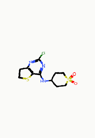 O=S1(=O)CCC(Nc2nc(Cl)nc3c2SCC3)CC1